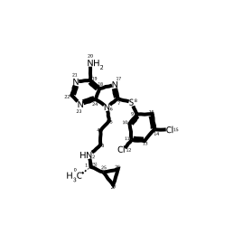 C[C@H](NCCCn1c(Sc2cc(Cl)cc(Cl)c2)nc2c(N)ncnc21)C1CC1